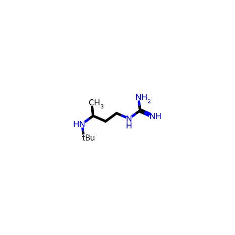 CC(CCNC(=N)N)NC(C)(C)C